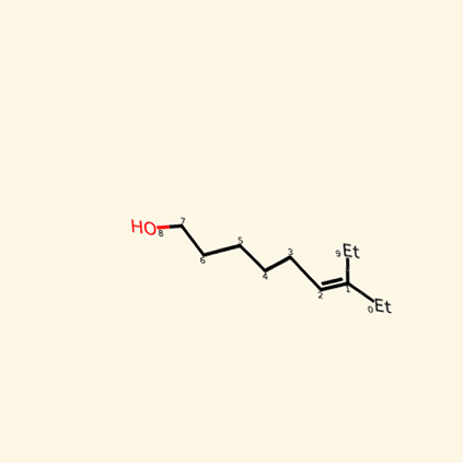 CCC(=CCCCCCO)CC